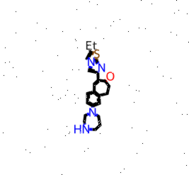 CCc1cn2cc(C3=Cc4ccc(N5CCCNCC5)cc4CCC3=O)nc2s1